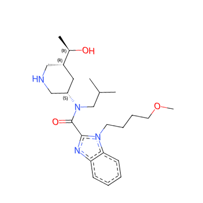 COCCCCn1c(C(=O)N(CC(C)C)[C@@H]2CNC[C@H]([C@@H](C)O)C2)nc2ccccc21